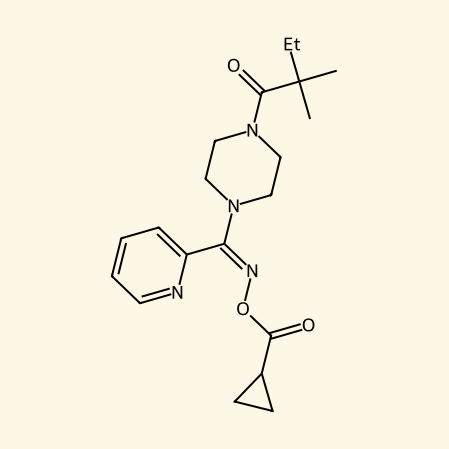 CCC(C)(C)C(=O)N1CCN(C(=NOC(=O)C2CC2)c2ccccn2)CC1